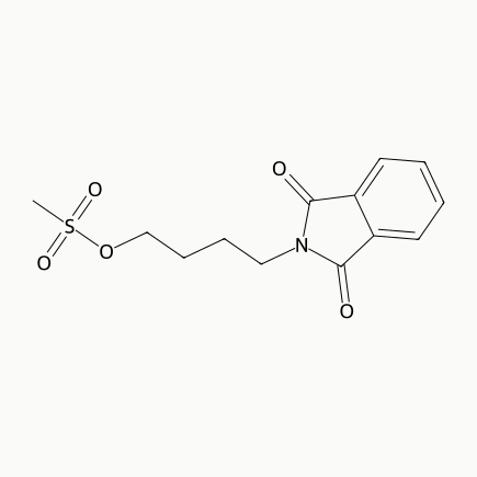 CS(=O)(=O)OCCCCN1C(=O)c2ccccc2C1=O